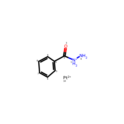 N[NH2+]C(=O)c1ccccc1.[Pt+2]